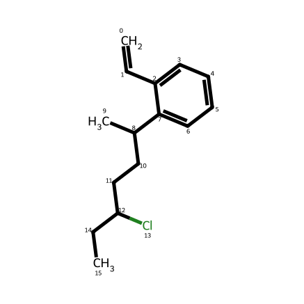 C=Cc1ccccc1C(C)CCC(Cl)CC